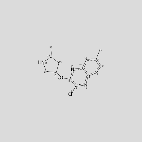 Cc1ccc2nc(Cl)c(OC3CN[C@H](C)C3)nc2c1